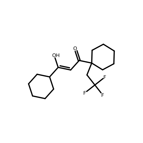 O=C(/C=C(\O)C1CCCCC1)C1(CC(F)(F)F)CCCCC1